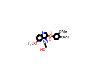 COc1ccc(S(=O)(=O)c2cnc3ccc(OC(F)(F)F)cc3c2NCCO)cc1OC